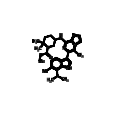 CP(C)c1c(C#N)ccc2c(-c3nc(NC4CCC(C)(C)N(C(=O)OC(C)(C)C)C4)c4nccn4c3C(F)(F)F)c[nH]c12